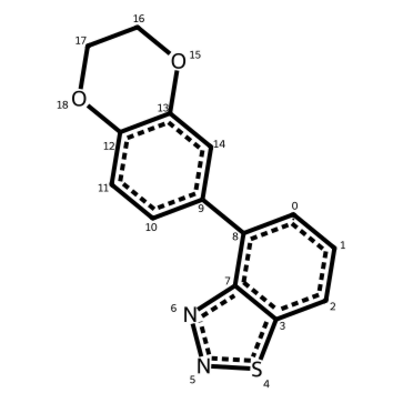 [c]1ccc2snnc2c1-c1ccc2c(c1)OCCO2